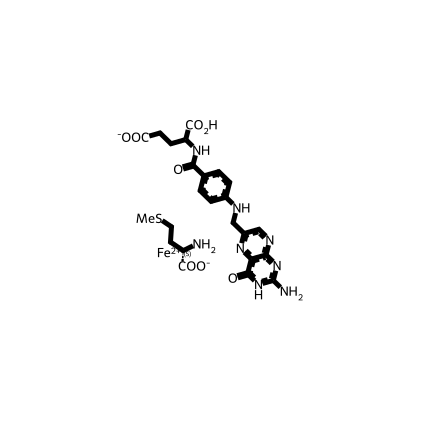 CSCC[C@H](N)C(=O)[O-].Nc1nc2ncc(CNc3ccc(C(=O)NC(CCC(=O)[O-])C(=O)O)cc3)nc2c(=O)[nH]1.[Fe+2]